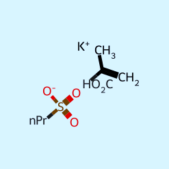 C=C(C)C(=O)O.CCCS(=O)(=O)[O-].[K+]